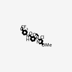 COc1cnc(N2CCOc3c(C(=O)Nc4ccc(OC(F)(F)F)cc4)cccc32)c(Cl)c1